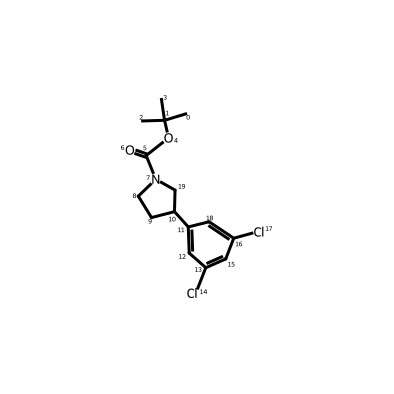 CC(C)(C)OC(=O)N1CCC(c2cc(Cl)cc(Cl)c2)C1